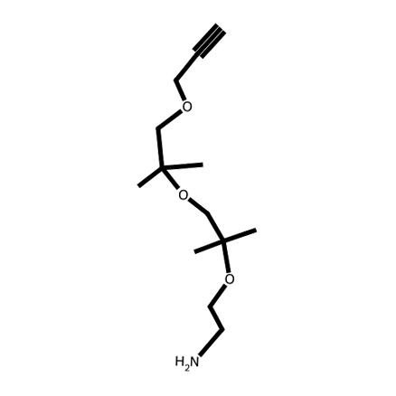 C#CCOCC(C)(C)OCC(C)(C)OCCN